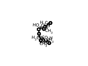 Cc1c(-c2cc(C(=O)O)c3c(OC4CCCC(c5ccc([C@@H](C)Oc6ccc(C)c7nc(-c8sc9ccccc9c8C)cc(C(=O)O)c67)cc5)C4)ccc(C)c3n2)sc2ccccc12